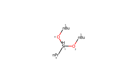 CC[CH][SiH](OCCCC)OCCCC